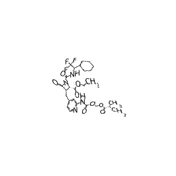 CCOC(=O)[C@@H]1[C@@H](Cc2ccnc(NC(=O)OCOC(=O)C(C)C)c2)C(=O)N1C(=O)NC(C1CCCCC1)C(F)(F)F